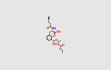 C#CCCC(=O)N[C@H]1Cc2cccc(C(O)OC(C)OC(=O)OCC)c2OB1O